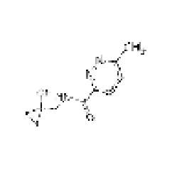 Cc1ccc(C(=O)NCC2(O)CC2)nn1